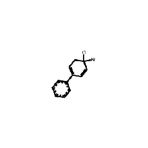 ClC1(Br)C=CC(c2ccccc2)=CC1